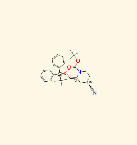 CC(C)(C)OC(=O)N1CC[C@@H](C#N)C[C@H]1CO[Si](c1ccccc1)(c1ccccc1)C(C)(C)C